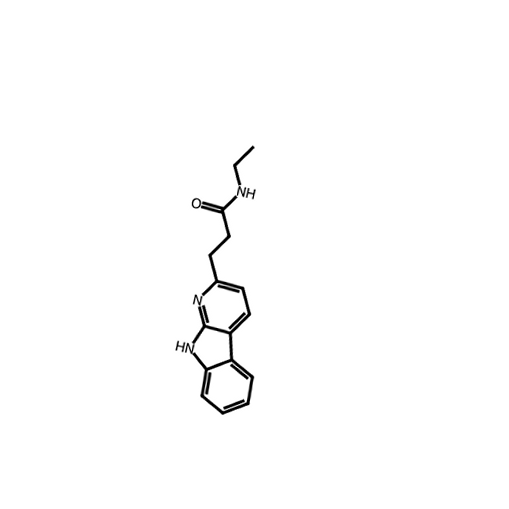 CCNC(=O)CCc1ccc2c(n1)[nH]c1ccccc12